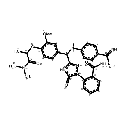 COc1cc(C(Nc2ccc(C(=N)N)cc2)c2nn(-c3ccccc3C(N)=O)c(=O)[nH]2)ccc1OC(C)C(=O)N(C)C